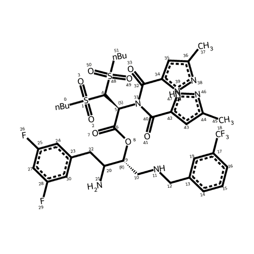 CCCCS(=O)(=O)C([C@H](C(=O)O[C@H](CNCc1cccc(C(F)(F)F)c1)C(N)Cc1cc(F)cc(F)c1)N(C(=O)c1cc(C)n[nH]1)C(=O)c1cc(C)n[nH]1)S(=O)(=O)CCCC